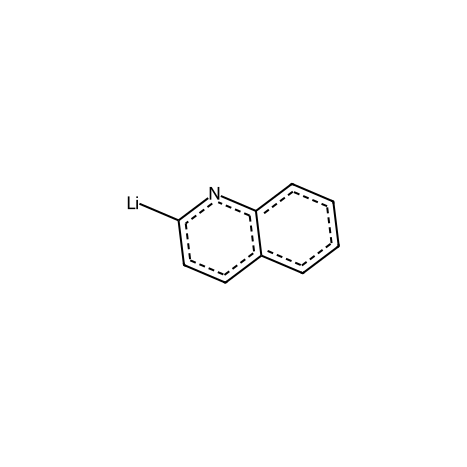 [Li][c]1ccc2ccccc2n1